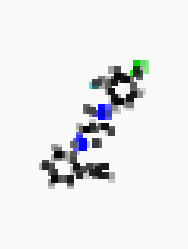 O=[N+]([O-])c1ccccc1N1CC2(CN(c3ccc(Cl)cc3F)C2)C1